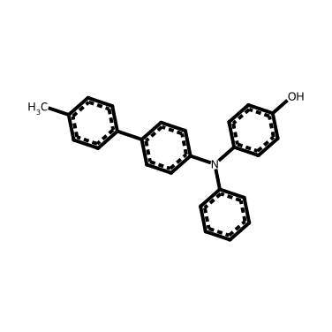 Cc1ccc(-c2ccc(N(c3ccccc3)c3ccc(O)cc3)cc2)cc1